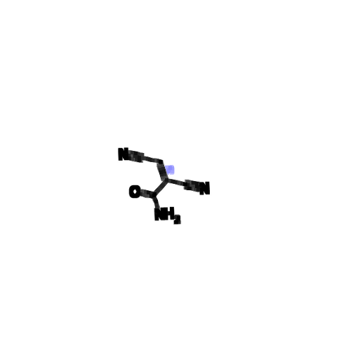 N#C/C=C(/C#N)C(N)=O